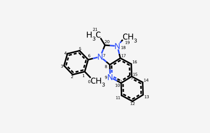 Cc1ccccc1N1c2nc3ccccc3cc2N(C)C1C